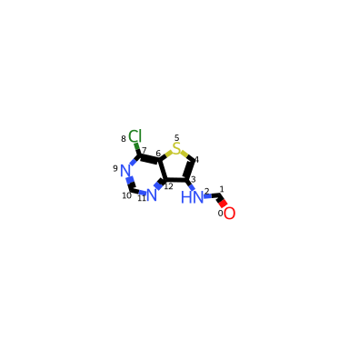 O=CNc1csc2c(Cl)ncnc12